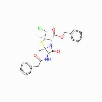 C[C@@]1(CCl)S[C@@H]2[C@H](NC(=O)Cc3ccccc3)C(=O)N2[C@H]1C(=O)OCc1ccccc1